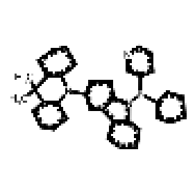 CC1(C)c2ccccc2N(c2ccc3c(c2)c2ccccc2n3P(c2ccccc2)c2cccnc2)c2ccccc21